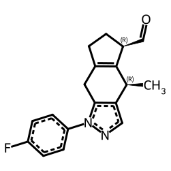 C[C@@H]1C2=C(CC[C@H]2C=O)Cc2c1cnn2-c1ccc(F)cc1